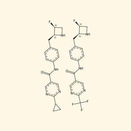 O=C(Nc1ccc(C[C@@H]2NC[C@@H]2F)cc1)c1cnc(C(F)(F)F)nc1.O=C(Nc1ccc(C[C@@H]2NC[C@@H]2F)cc1)c1cnc(C2CC2)nc1